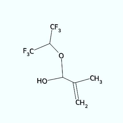 C=C(C)C(O)OC(C(F)(F)F)C(F)(F)F